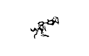 CCCN(CCC)c1c(SC)nc2c(-c3ccc4c(c3C)OCO4)cccn12